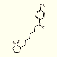 Cc1ccc([S+]([O-])CCCCC=CC2CCCS2(=O)=O)cc1